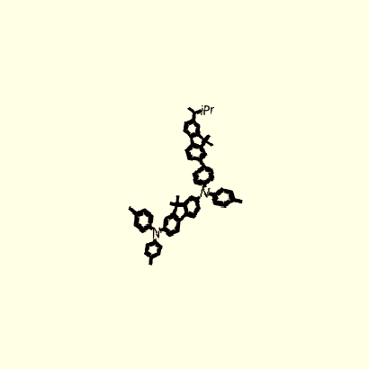 Cc1ccc(N(c2ccc(C)cc2)c2ccc3c(c2)C(C)(C)c2cc(N(c4ccc(C)cc4)c4ccc(-c5ccc6c(c5)C(C)(C)c5cc(C(C)C(C)C)ccc5-6)cc4)ccc2-3)cc1